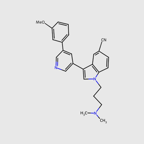 COc1cccc(-c2cncc(-c3cn(CCCN(C)C)c4ccc(C#N)cc34)c2)c1